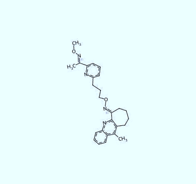 CO/N=C(\C)c1cccc(CCCO/N=C2\CCCCc3c2nc2ccccc2c3C)n1